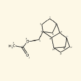 CC(=O)OCC12CCC(C1)C1C3CCC(C3)C12